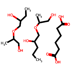 CCC(O)COC(C)CO.CCCC(O)COC(C)CO.O=C(O)CCCCC(=O)O